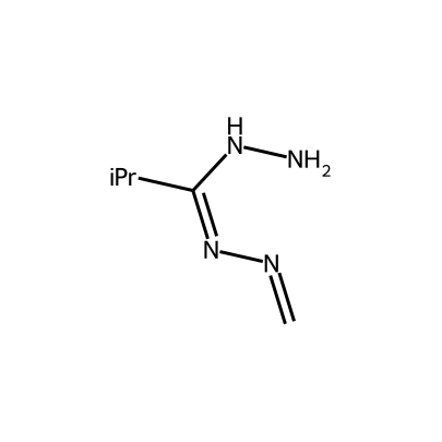 C=N/N=C(\NN)C(C)C